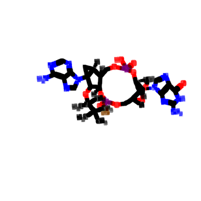 CO[C@H]1[C@H]2OP(=O)(O)OC[C@@H]3[C@@H](O[P@@](=O)(S)OC[C@H]1O[C@H]2n1cnc2c(=O)[nH]c(N)nc21)C(O[Si](C)(C)C(C)(C)C)C1(n2cnc4c(N)ncnc42)C[C@@H]31